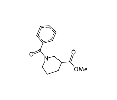 COC(=O)C1CCCN(C(=O)c2ccccc2)C1